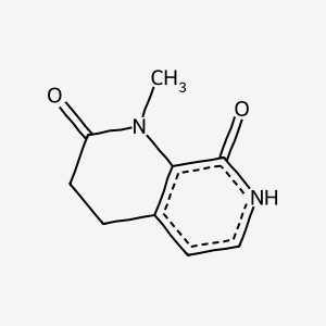 CN1C(=O)CCc2cc[nH]c(=O)c21